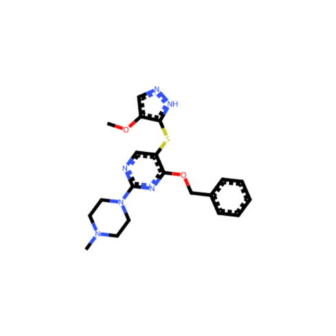 COc1cn[nH]c1Sc1cnc(N2CCN(C)CC2)nc1OCc1ccccc1